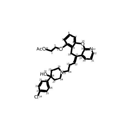 CC(=O)OCCOc1cccc2c1CC(=CCCN1CCC(O)(c3ccc(Cl)cc3)CC1)c1cccnc1O2